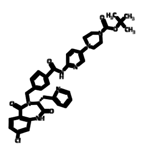 CC(C)(C)OC(=O)N1CCN(c2ccc(NC(=O)c3ccc(CN4C(=O)c5ccc(Cl)cc5NC(=O)[C@H]4Cc4ccccn4)cc3)nc2)CC1